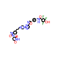 Cn1c(=O)n(C2CCC(=O)NC2=O)c2ccc(CCCN3CCN(c4nccc(-c5ncc([C@]67CC[C@](CNC(=O)c8cc(F)c(O)c(F)c8F)(CC6)CC7)o5)n4)CC3)cc21